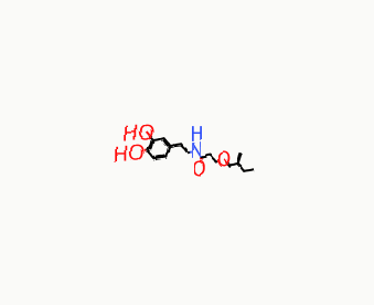 C=C(CC)COCCC(=O)NCCc1ccc(O)c(O)c1